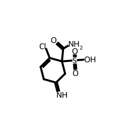 N=C1CC=C(Cl)C(C(N)=O)(S(=O)(=O)O)C1